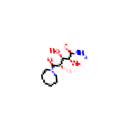 NC(=O)[C@@H](O)[C@H](O)[C@@H](O)C(=O)N1CCCCCC1